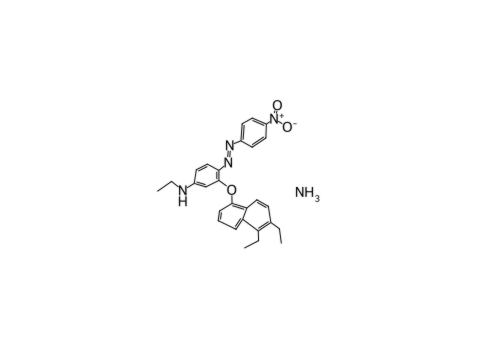 CCNc1ccc(N=Nc2ccc([N+](=O)[O-])cc2)c(Oc2cccc3c(CC)c(CC)ccc23)c1.N